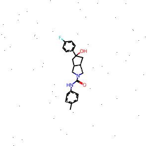 Cc1ccc(NC(=O)N2CC3CC(O)(c4ccc(F)cc4)CC3C2)cc1